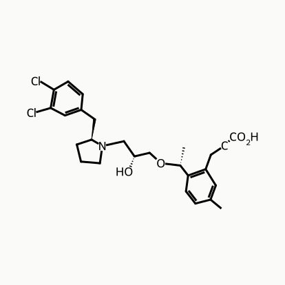 Cc1ccc([C@@H](C)OC[C@H](O)CN2CCC[C@H]2Cc2ccc(Cl)c(Cl)c2)c(CCC(=O)O)c1